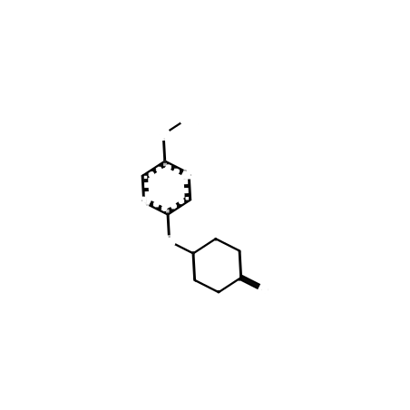 O=C1CCC(Oc2cnc(OC(F)(F)F)cn2)CC1